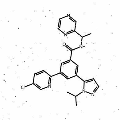 CC(NC(=O)c1cc(-c2ccc(Cl)cn2)cc(-c2ccnn2C(C)C)c1)c1cnccn1